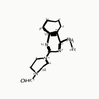 CCNc1nc(N2CCN(C=O)CC2)nc2c1CCCC2